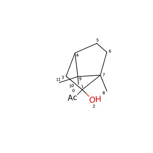 CC(=O)C1(O)CC2CCC1(C)C2(C)C